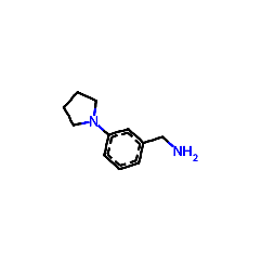 NCc1cccc(N2CCCC2)c1